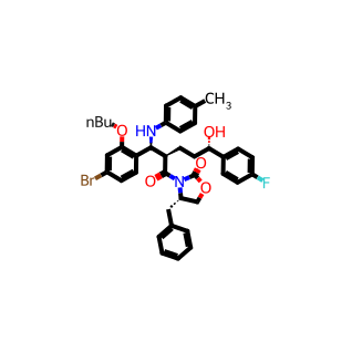 CCCCOc1cc(Br)ccc1[C@@H](Nc1ccc(C)cc1)[C@@H](CC[C@H](O)c1ccc(F)cc1)C(=O)N1C(=O)OC[C@@H]1Cc1ccccc1